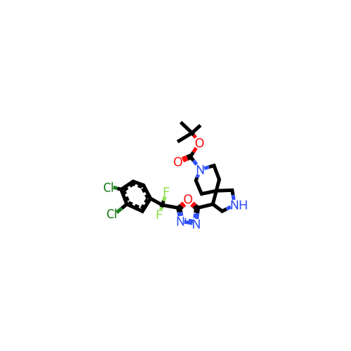 CC(C)(C)OC(=O)N1CCC2(CC1)CNCC2c1nnc(C(F)(F)c2ccc(Cl)c(Cl)c2)o1